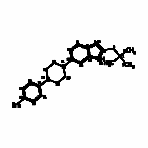 CC(C)(C)Cc1nc2ccc(N3CCN(c4ccc(Br)cc4)CC3)cc2[nH]1